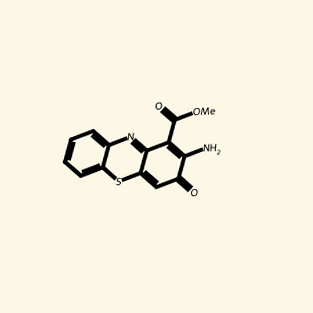 COC(=O)c1c2nc3ccccc3sc-2cc(=O)c1N